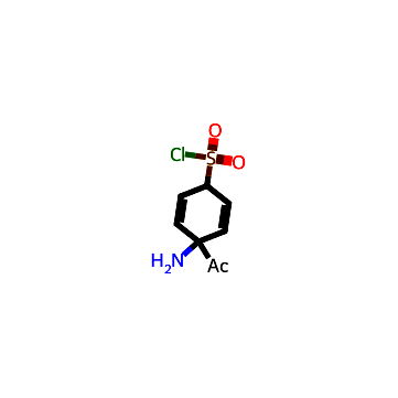 CC(=O)C1(N)C=CC(S(=O)(=O)Cl)C=C1